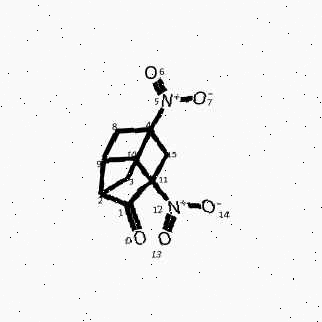 O=C1C2CC3([N+](=O)[O-])CC2CC1([N+](=O)[O-])C3